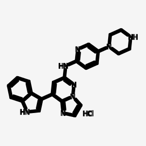 Cl.c1ccc2c(-c3cc(Nc4ccc(N5CCNCC5)cn4)nn4ccnc34)c[nH]c2c1